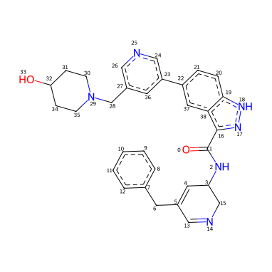 O=C(NC1C=C(Cc2ccccc2)C=NC1)c1n[nH]c2ccc(-c3cncc(CN4CCC(O)CC4)c3)cc12